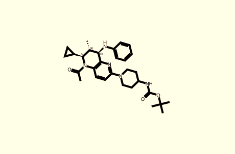 CC(=O)N1c2ccc(N3CCC(NC(=O)OC(C)(C)C)CC3)nc2[C@H](Nc2ccccc2)[C@@H](C)[C@@H]1C1CC1